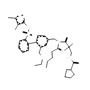 CCCCC1=NC(C)(CNC(=O)C2CCCC2)C(=O)N1Cc1ccc(-c2ccccc2S(=O)(=O)Nc2noc(C)c2C)c(COCC)c1